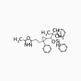 Cc1nnc(CCC2(c3ccccc3)CC2C(O[SiH](c2ccccc2)c2ccccc2)C(C)(C)C)o1